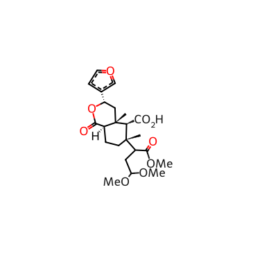 COC(=O)C(CC(OC)OC)[C@]1(C)CC[C@H]2C(=O)O[C@H](c3ccoc3)C[C@]2(C)[C@H]1C(=O)O